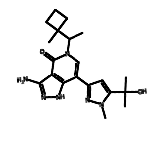 CC(n1cc(-c2cc(C(C)(C)O)n(C)n2)c2[nH]nc(N)c2c1=O)C1(C)CCC1